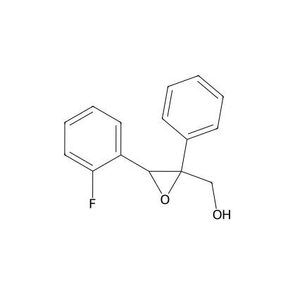 OCC1(c2ccccc2)OC1c1ccccc1F